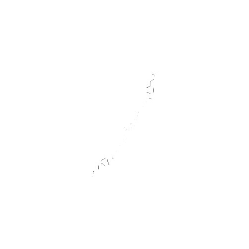 COC(=O)/C=C/c1ccc(C(=O)OCCCCCCOC(=O)CC(=O)OCCCCCCOC(=O)c2ccc(/C=C/C(=O)OC)cc2)cc1